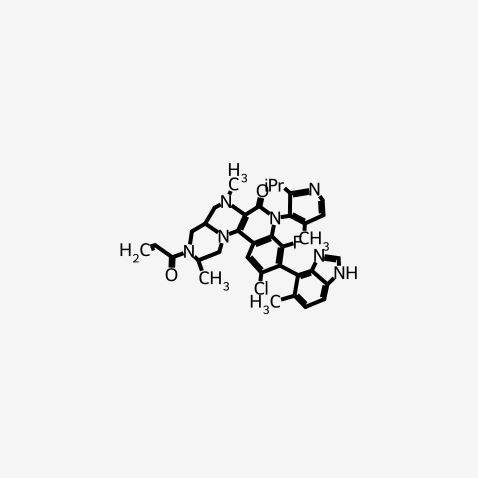 C=CC(=O)N1CC2CN(C)c3c(c4cc(Cl)c(-c5c(C)ccc6[nH]cnc56)c(F)c4n(-c4c(C)ccnc4C(C)C)c3=O)N2CC1C